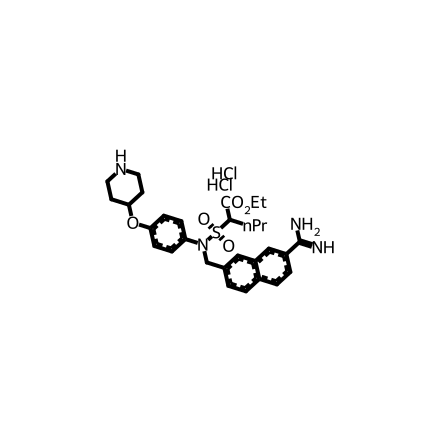 CCCC(C(=O)OCC)S(=O)(=O)N(Cc1ccc2ccc(C(=N)N)cc2c1)c1ccc(OC2CCNCC2)cc1.Cl.Cl